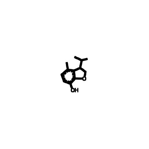 Cc1ccc(O)c2c1C(C(C)C)CO2